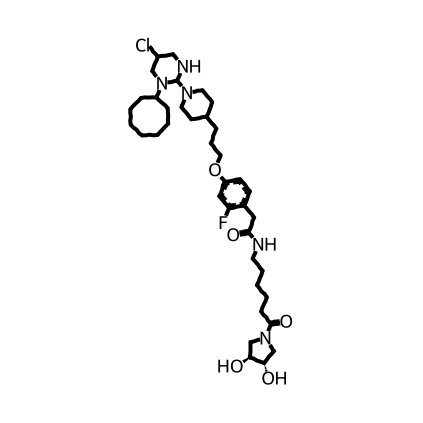 O=C(Cc1ccc(OCCCC2CCN(C3NCC(Cl)CN3C3CCCCCCC3)CC2)cc1F)NCCCCCC(=O)N1C[C@H](O)[C@@H](O)C1